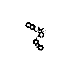 Cc1c(C)n(Cc2ccc3ccccc3c2)c2c(Oc3ccc4oc5ccccc5c4c3)nccc12.Cl